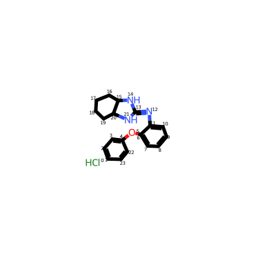 Cl.c1ccc(Oc2ccccc2N=C2NC3CCCCC3N2)cc1